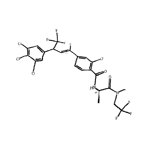 C[C@@H](NC(=O)c1ccc(/C(F)=C/C(c2cc(Cl)c(Cl)c(Cl)c2)C(F)(F)F)cc1Cl)C(=O)N(C)CC(F)(F)F